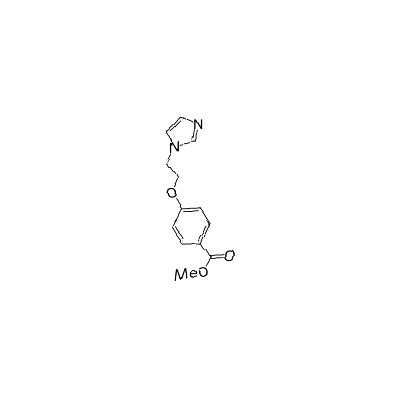 COC(=O)c1ccc(OCCn2ccnc2)cc1